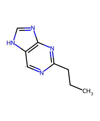 CCCc1n[c]c2[nH]cnc2n1